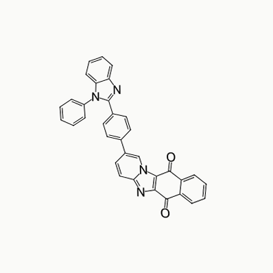 O=C1c2ccccc2C(=O)c2c1nc1ccc(-c3ccc(-c4nc5ccccc5n4-c4ccccc4)cc3)cn21